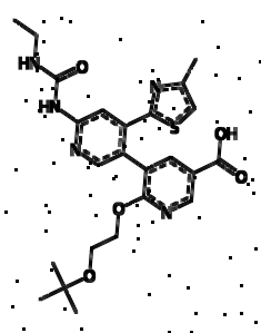 CCNC(=O)Nc1cc(-c2nc(C)cs2)c(-c2cc(C(=O)O)cnc2OCCOC(C)(C)C)cn1